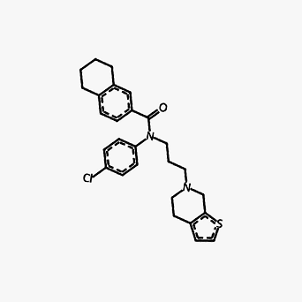 O=C(c1ccc2c(c1)CCCC2)N(CCCN1CCc2ccsc2C1)c1ccc(Cl)cc1